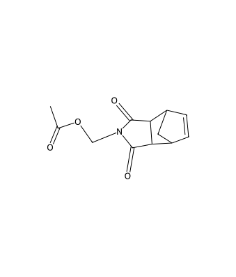 CC(=O)OCN1C(=O)C2C3C=CC(C3)C2C1=O